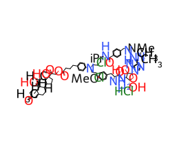 CNNCc1ccc(C(=O)NC(C)C)cc1.COc1ccc(C[C@H](N)C(=O)N[C@H]2[C@@H](O)[C@H](n3cnc4c(N(C)C)ncnc43)O[C@@H]2CO)cc1.C[C@]12C=CC(=O)C=C1CC[C@@H]1[C@@H]2[C@@H](O)C[C@@]2(C)[C@H]1CC[C@]2(O)C(=O)COC(=O)CCCc1ccc(N(CCCl)CCCl)cc1.Cl